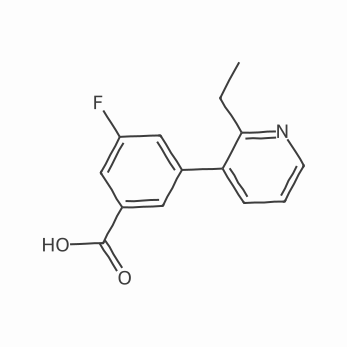 CCc1ncccc1-c1cc(F)cc(C(=O)O)c1